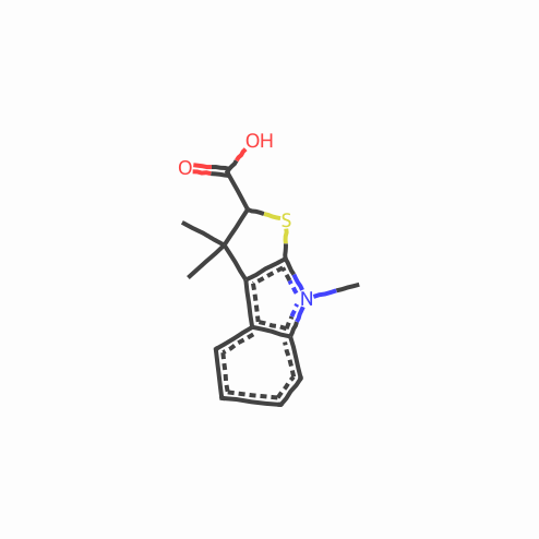 Cn1c2c(c3ccccc31)C(C)(C)C(C(=O)O)S2